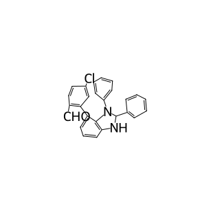 O=Cc1ccc(Cl)cc1-c1cccc2c1N(c1ccccc1)C(c1ccccc1)N2